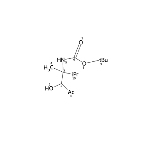 CC(=O)C(O)C(C)(NC(=O)OC(C)(C)C)C(C)C